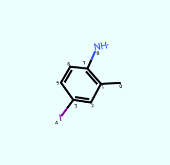 Cc1cc(I)ccc1[NH]